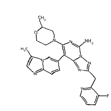 Cc1cnc2ccc(-c3c(N4CCOC(C)C4)nc(N)n4nc(Cc5ncccc5F)nc34)cn12